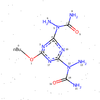 CCCCOc1nc(N(N)C(N)=O)nc(N(N)C(N)=O)n1